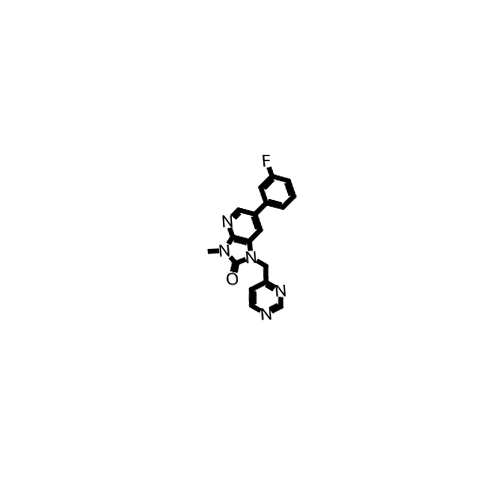 Cn1c(=O)n(Cc2ccncn2)c2cc(-c3cccc(F)c3)cnc21